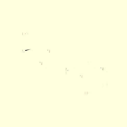 CC(O)[C@H](NC(=O)NCc1nc([C@@H](N)CO)no1)C(N)=O